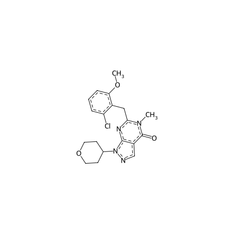 COc1cccc(Cl)c1Cc1nc2c(cnn2C2CCOCC2)c(=O)n1C